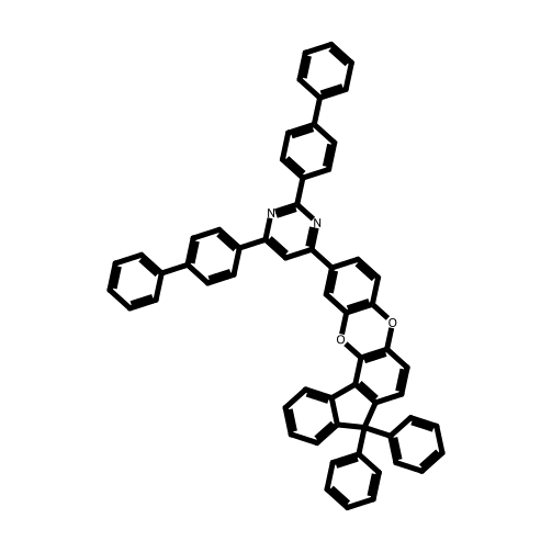 c1ccc(-c2ccc(-c3cc(-c4ccc5c(c4)Oc4c(ccc6c4-c4ccccc4C6(c4ccccc4)c4ccccc4)O5)nc(-c4ccc(-c5ccccc5)cc4)n3)cc2)cc1